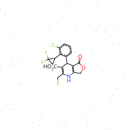 O=C(O)C1=C(CF)NC2=C(C(=O)OC2)C1c1cccc(F)c1C1CC1(F)F